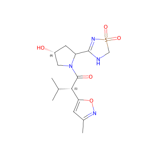 Cc1cc([C@@H](C(=O)N2C[C@H](O)CC2C2=NS(=O)(=O)CN2)C(C)C)on1